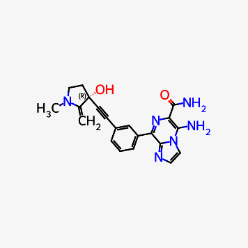 C=C1N(C)CC[C@@]1(O)C#Cc1cccc(-c2nc(C(N)=O)c(N)n3ccnc23)c1